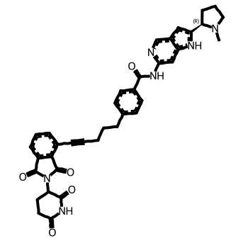 CN1CCC[C@@H]1c1cc2cnc(NC(=O)c3ccc(CCCC#Cc4cccc5c4C(=O)N(C4CCC(=O)NC4=O)C5=O)cc3)cc2[nH]1